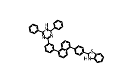 c1ccc(C2=NC(c3cccc(-c4cccc5c(-c6ccc(C7Nc8ccccc8S7)cc6)cccc45)c3)=NC(c3ccccc3)N2)cc1